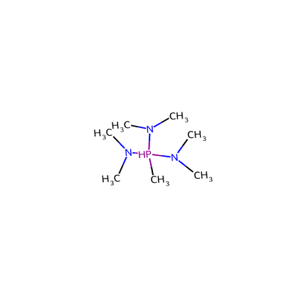 CN(C)[PH](C)(N(C)C)N(C)C